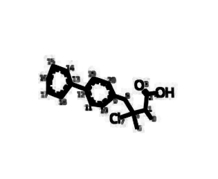 CC(C(=O)O)C(C)(Cl)Cc1ccc(-c2ccccc2)cc1